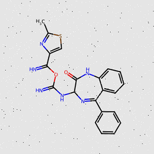 Cc1nc(C(=N)OC(=N)NC2N=C(c3ccccc3)c3ccccc3NC2=O)cs1